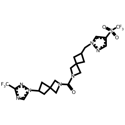 O=C(N1CC2(CC(Cn3cc(S(=O)(=O)C(F)(F)F)cn3)C2)C1)N1CC2(CC(n3cnc(C(F)(F)F)n3)C2)C1